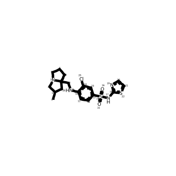 CC1CN2CCCC2(CNc2ccc(S(=O)(=O)Nc3nccs3)cc2Cl)C1